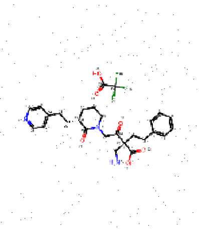 NC[C@@](CCc1ccccc1)(C(=O)O)C(=O)CN1CCC[C@@H](CCc2ccncc2)C1=O.O=C(O)C(F)(F)F